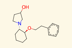 OC1CCN([C@H]2CCCC[C@@H]2OCCc2ccccc2)C1